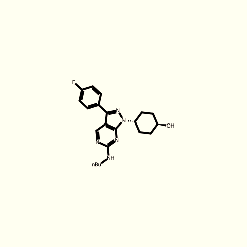 CCCCNc1ncc2c(-c3ccc(F)cc3)nn([C@H]3CC[C@H](O)CC3)c2n1